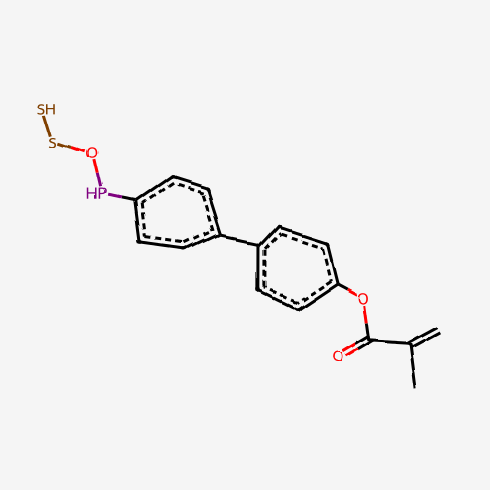 C=C(C)C(=O)Oc1ccc(-c2ccc(POSS)cc2)cc1